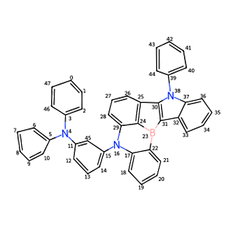 c1ccc(N(c2ccccc2)c2cccc(N3c4ccccc4B4c5c(cccc53)-c3c4c4ccccc4n3-c3ccccc3)c2)cc1